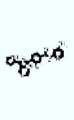 Cc1ccnc(NC(=O)c2ccc(C3=NC(C4CCCN4)=C4C=NC=C[N+]34N)cc2)c1